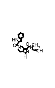 C#CCN(C)C(=O)c1n[nH]c2c1CN(C(=O)c1cc3ccccc3[nH]1)CC2